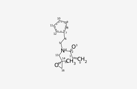 C=CC(=O)N(CCc1ccccc1)CC1(C)CO1